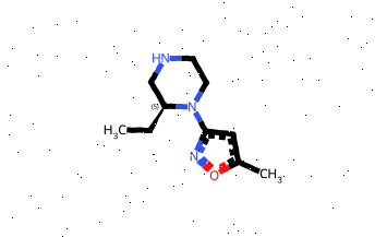 CC[C@H]1CNCCN1c1cc(C)on1